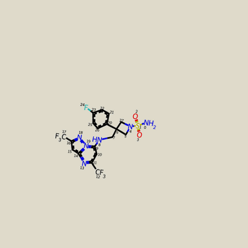 NS(=O)(=O)N1CC(CNc2cc(C(F)(F)F)nc3cc(C(F)(F)F)nn23)(c2ccc(F)cc2)C1